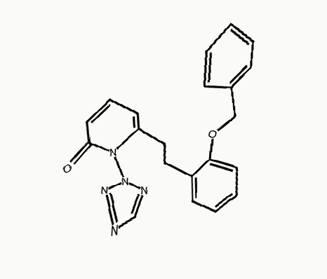 O=c1cccc(CCc2ccccc2OCc2ccccc2)n1-n1ncnn1